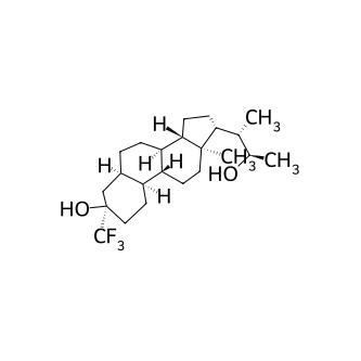 C[C@@H]([C@H]1CC[C@H]2[C@@H]3CC[C@@H]4C[C@@](O)(C(F)(F)F)CC[C@@H]4[C@H]3CC[C@]12C)[C@@H](C)O